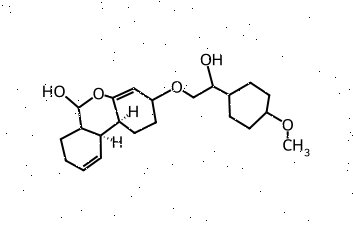 COC1CCC(C(O)COC2C=C3OC(O)C4CCC=C[C@@H]4[C@@H]3CC2)CC1